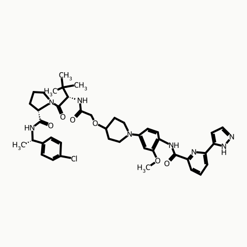 COc1cc(N2CCC(OCC(=O)N[C@H](C(=O)N3CCC[C@H]3C(=O)N[C@@H](C)c3ccc(Cl)cc3)C(C)(C)C)CC2)ccc1NC(=O)c1cccc(-c2ccn[nH]2)n1